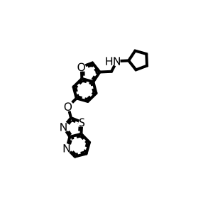 c1cnc2nc(Oc3ccc4c(CNC5CCCC5)coc4c3)sc2c1